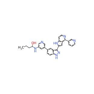 CCCC(O)Nc1cncc(-c2ccc3[nH]nc(-c4cc5c(-c6cccnc6)nccc5[nH]4)c3c2)c1